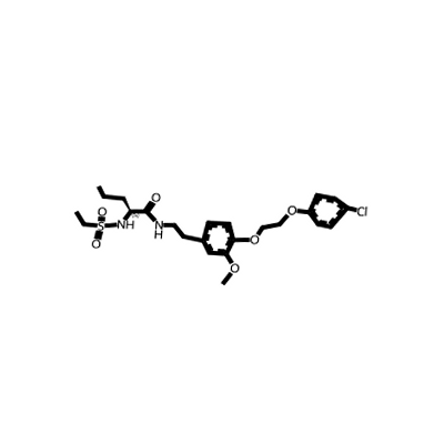 CCC[C@H](NS(=O)(=O)CC)C(=O)NCCc1ccc(OCCOc2ccc(Cl)cc2)c(OC)c1